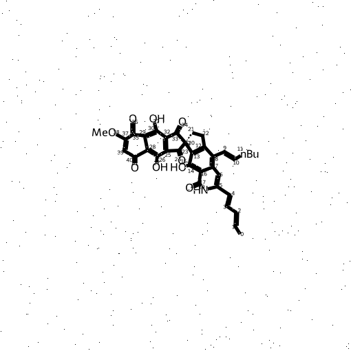 CC=CC=Cc1cc2c(C=CCCCC)c3c(c(O)c2c(=O)[nH]1)[C@@]1(CC3)C(=O)c2c(O)c3c(c(O)c2C1=O)C(=O)C(OC)=CC3=O